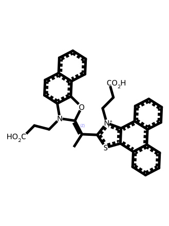 C/C(=C1/Oc2c(ccc3ccccc23)N1CCC(=O)O)c1sc2c3ccccc3c3ccccc3c2[n+]1CCC(=O)O